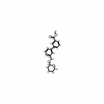 COC(=O)c1cccc(-c2ccnc(COC3CCCCO3)c2)c1